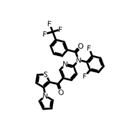 O=C(c1ccc(N(C(=O)c2cccc(C(F)(F)F)c2)c2c(F)cccc2F)nc1)c1sccc1-n1cccc1